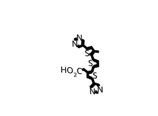 Cc1cc(-c2cncnc2)sc1-c1ccc(-c2sc(-c3cncnc3)cc2CC(=O)O)s1